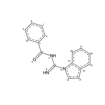 N=C(NC(=O)c1ccccc1)n1ccc2c[c]ccc21